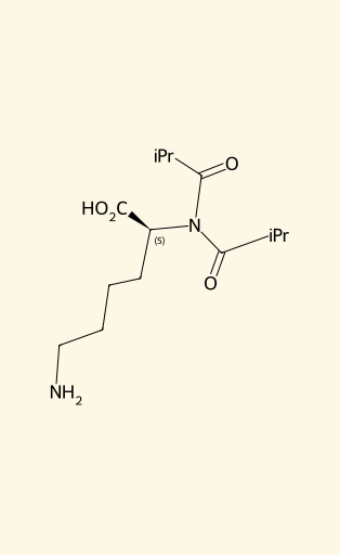 CC(C)C(=O)N(C(=O)C(C)C)[C@@H](CCCCN)C(=O)O